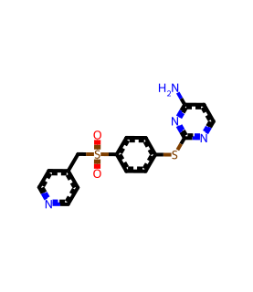 Nc1ccnc(Sc2ccc(S(=O)(=O)Cc3ccncc3)cc2)n1